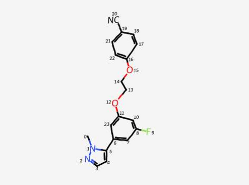 Cn1nccc1-c1cc(F)cc(OCCOc2ccc(C#N)cc2)c1